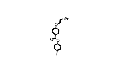 CCCC=COc1ccc(C(=O)Oc2ccc(F)cc2)cc1